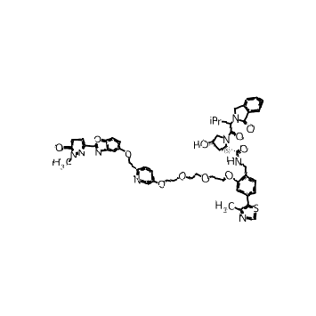 Cc1ncsc1-c1ccc(CNC(=O)[C@@H]2C[C@@H](O)CN2C(=O)C(C(C)C)N2Cc3ccccc3C2=O)c(OCCOCCOCCOc2ccc(COc3ccc4oc(-c5ccc(=O)n(C)n5)nc4c3)nc2)c1